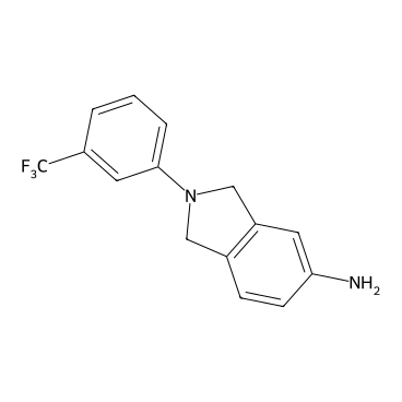 Nc1ccc2c(c1)CN(c1cccc(C(F)(F)F)c1)C2